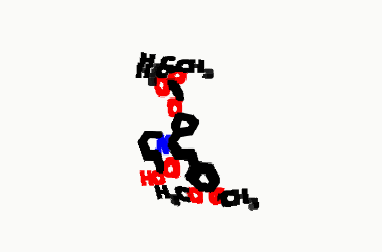 COc1ccc(CCC(c2cccc(OCC(=O)OC(C)(C)C)c2)N2CCCCC2C(=O)O)cc1OC